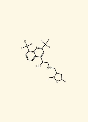 CC1CC(CNCC(O)c2cc(C(F)(F)F)nc3c(C(F)(F)F)cccc23)N(C)O1